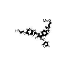 COCCCS(=O)(=O)c1ccc(/C(=N\O[C@@H]2CCOC2)C(=O)Nc2nc3ncc(OCCO)nc3s2)cc1